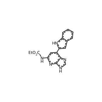 CCOC(=O)Nc1cc(-c2cc3ccccc3[nH]2)c2nc[nH]c2n1